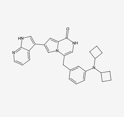 O=c1[nH]cc(Cc2cccc(N(C3CCC3)C3CCC3)c2)n2cc(-c3c[nH]c4ncccc34)cc12